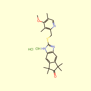 COc1c(C)cnc(CSc2nc3cc4c(cc3[nH]2)C(C)(C)C(=O)C4(C)C)c1C.Cl.Cl